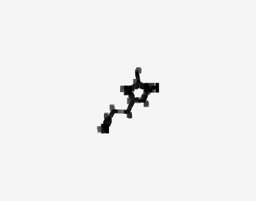 Cc1nc(CCC#N)c[nH]1